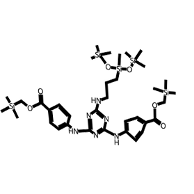 C[Si](C)(C)COC(=O)c1ccc(Nc2nc(NCCC[Si](C)(O[Si](C)(C)C)O[Si](C)(C)C)nc(Nc3ccc(C(=O)OC[Si](C)(C)C)cc3)n2)cc1